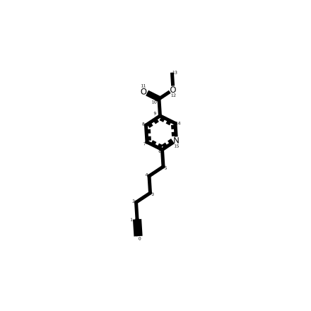 C#CCCCCc1ccc(C(=O)OC)cn1